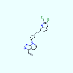 CNc1ncnc2c1ccn2C1CCC(CCc2ccc3cc(Br)c(Cl)nc3c2)C1